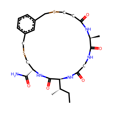 CC[C@H](C)[C@@H]1NC(=O)CNC(=O)[C@H](C)NC(=O)CCSCc2cccc(c2)CSC[C@@H](C(N)=O)NC1=O